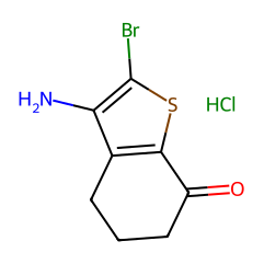 Cl.Nc1c(Br)sc2c1CCCC2=O